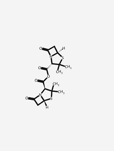 CC1(C)S[C@@H]2CC(=O)N2[C@H]1C(=O)OC(=O)[C@@H]1N2C(=O)C[C@H]2SC1(C)C